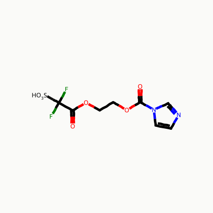 O=C(OCCOC(=O)C(F)(F)S(=O)(=O)O)n1ccnc1